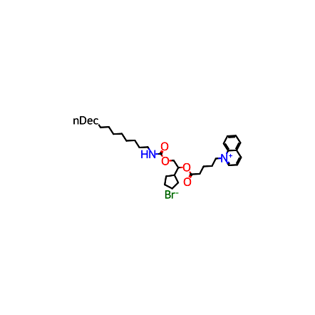 CCCCCCCCCCCCCCCCCCNC(=O)OCC(OC(=O)CCCC[n+]1cccc2ccccc21)C1CCCC1.[Br-]